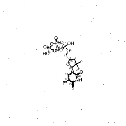 CC1(F)C[C@@H](COP(=O)(O)OP(=O)(O)OP(=O)(O)O)O[C@H]1n1cc(F)c(=S)[nH]c1=O